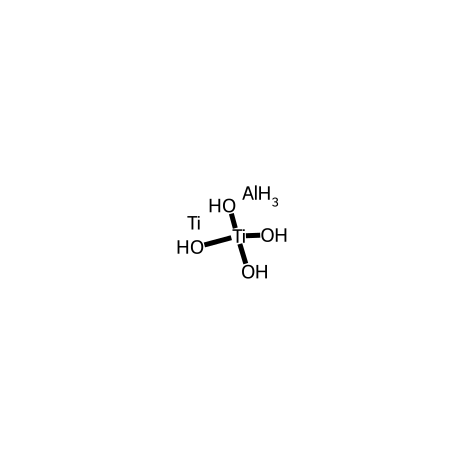 [AlH3].[OH][Ti]([OH])([OH])[OH].[Ti]